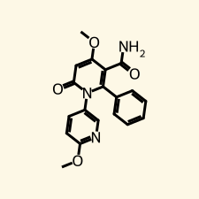 COc1ccc(-n2c(-c3ccccc3)c(C(N)=O)c(OC)cc2=O)cn1